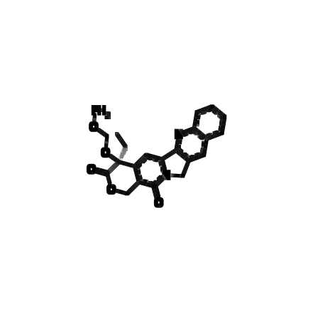 CC[C@@]1(OCOP)C(=O)OCc2c1cc1n(c2=O)Cc2cc3ccccc3nc2-1